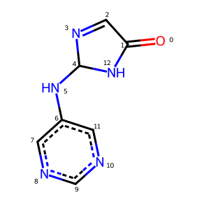 O=C1C=NC(Nc2cncnc2)N1